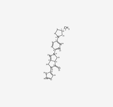 C[C@H]1CCN(c2ccc(N3CC4C(=O)N(c5ccns5)CC4=N3)nn2)C1